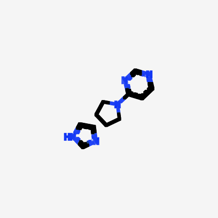 c1c[nH]cn1.c1cc(N2CCCC2)ncn1